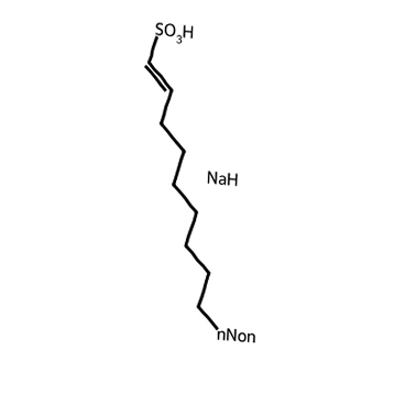 CCCCCCCCCCCCCCCCC=CS(=O)(=O)O.[NaH]